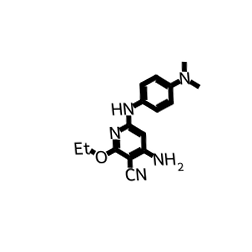 CCOc1nc(Nc2ccc(N(C)C)cc2)cc(N)c1C#N